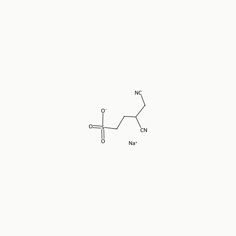 N#CCC(C#N)CCS(=O)(=O)[O-].[Na+]